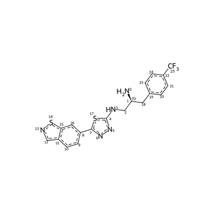 N[C@H](CNc1nnc(-c2ccc3cnsc3c2)s1)Cc1ccc(C(F)(F)F)cc1